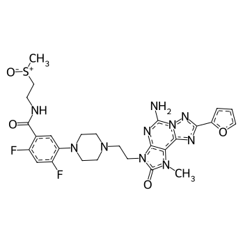 Cn1c(=O)n(CCN2CCN(c3cc(C(=O)NCC[S+](C)[O-])c(F)cc3F)CC2)c2nc(N)n3nc(-c4ccco4)nc3c21